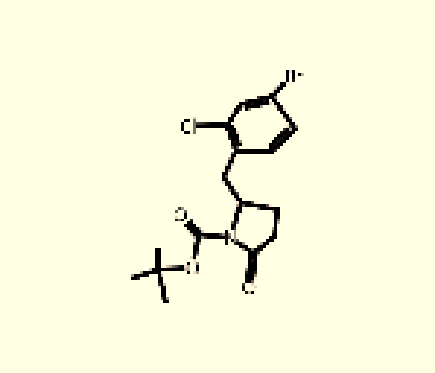 CC(C)(C)OC(=O)N1C(=O)CCC1Cc1ccc(Br)cc1Cl